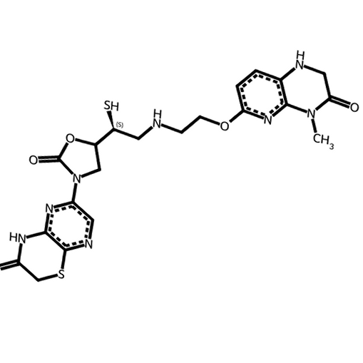 CN1C(=O)CNc2ccc(OCCNC[C@H](S)C3CN(c4cnc5c(n4)NC(=O)CS5)C(=O)O3)nc21